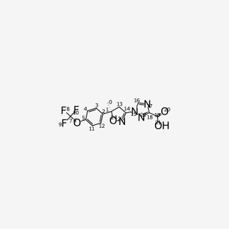 C[C@]1(c2ccc(OC(F)(F)F)cc2)CC(n2cnc(C(=O)O)n2)=NO1